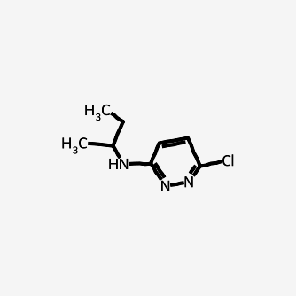 CCC(C)Nc1ccc(Cl)nn1